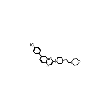 Oc1ccc(-c2ccc3ncc(N4CCN(CCN5CCOCC5)CC4)nc3c2)cc1